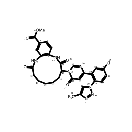 COC(=O)c1ccc2c(c1)NC(=O)CCCCCC(n1cnc(-c3cc(Cl)ccc3-n3cc(C(F)(F)F)nn3)cc1=O)C(=O)N2